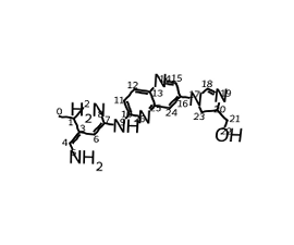 CC(C)C(=C/N)/C=C(\N)Nc1ccc2ncc(N3C=NC(CO)C3)cc2n1